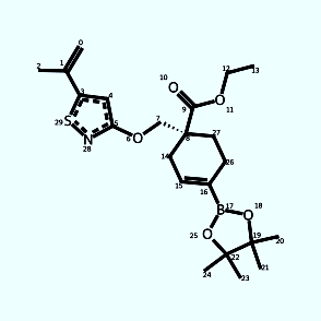 C=C(C)c1cc(OC[C@@]2(C(=O)OCC)CC=C(B3OC(C)(C)C(C)(C)O3)CC2)ns1